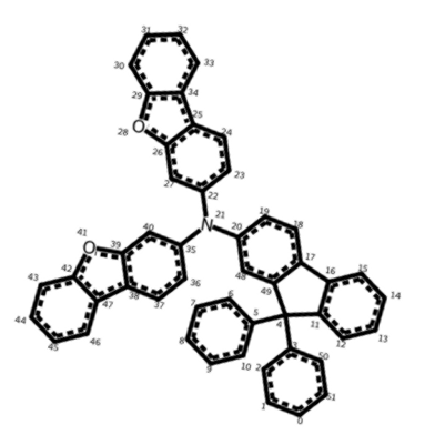 c1ccc(C2(c3ccccc3)c3ccccc3-c3ccc(N(c4ccc5c(c4)oc4ccccc45)c4ccc5c(c4)oc4ccccc45)cc32)cc1